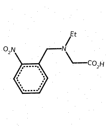 CCN(CC(=O)O)Cc1ccccc1[N+](=O)[O-]